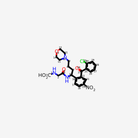 O=C(O)NCC(=O)NC(CCCN1CCOCC1)c1ccc([N+](=O)[O-])cc1C(=O)c1ccccc1Cl